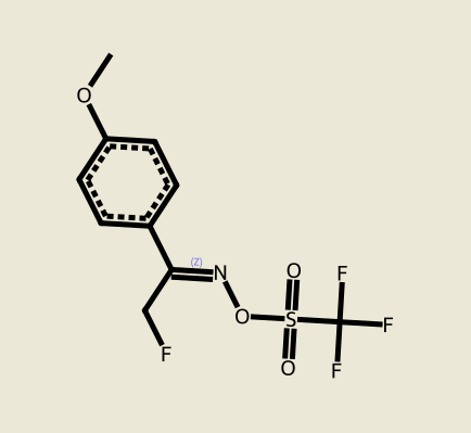 COc1ccc(/C(CF)=N/OS(=O)(=O)C(F)(F)F)cc1